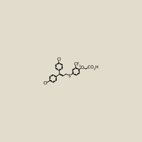 O=C(O)COc1ccc(SCC=C(c2ccc(Cl)cc2)c2ccc(Cl)cc2)cc1C(F)(F)F